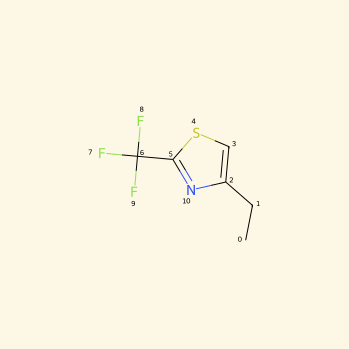 CCc1csc(C(F)(F)F)n1